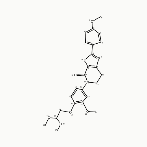 COc1ccc(-c2nc3c(s2)C(=O)N(c2ccc(OCC(OC)OC)c(OC)c2)CC3)cc1